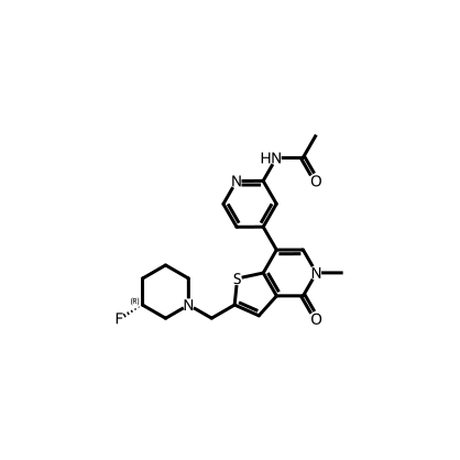 CC(=O)Nc1cc(-c2cn(C)c(=O)c3cc(CN4CCC[C@@H](F)C4)sc23)ccn1